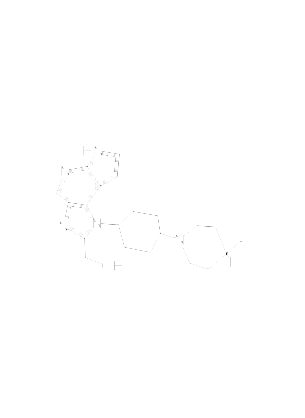 C[C@@H](O)c1nc2cnc3[nH]ccc3c2n1C1CCC(N2CCC(F)(F)CC2)CC1